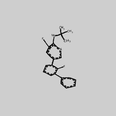 CC(C)(C)Nc1ncc(-c2cccc(-c3ccccc3)c2F)cc1F